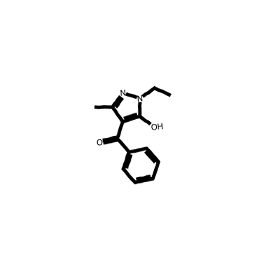 CCn1nc(C)c(C(=O)c2ccccc2)c1O